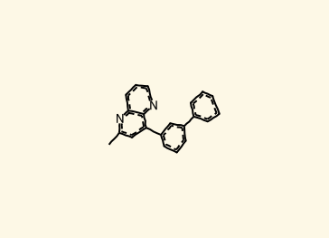 Cc1cc(-c2cccc(-c3ccccc3)c2)c2ncccc2n1